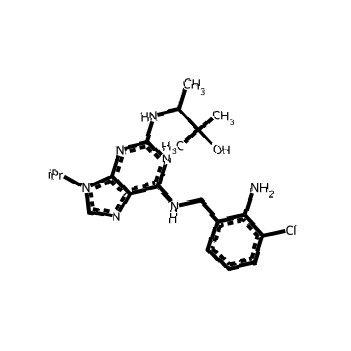 CC(C)n1cnc2c(NCc3cccc(Cl)c3N)nc(NC(C)C(C)(C)O)nc21